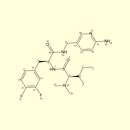 CCC(C)[C@H](C(=O)N[C@@H](Cc1ccc(F)c(F)c1)C(=O)NCc1ccc(N)nc1)N(C)C